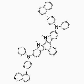 Cn1c2cc(N(c3ccccc3)c3ccc(-c4cccc5ccccc45)cc3)ccc2c2c3ccccc3c3c4ccc(N(c5ccccc5)c5ccc(-c6cccc7ccccc67)cc5)cc4n(C)c3c21